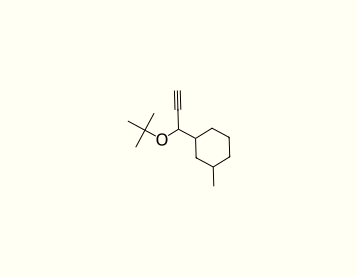 C#CC(OC(C)(C)C)C1CCCC(C)C1